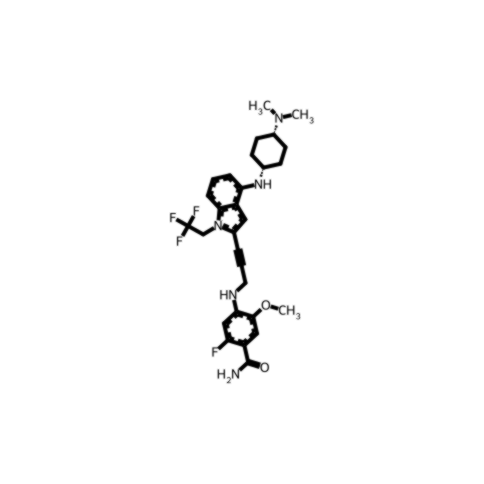 COc1cc(C(N)=O)c(F)cc1NCC#Cc1cc2c(N[C@H]3CC[C@@H](N(C)C)CC3)cccc2n1CC(F)(F)F